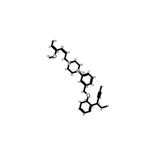 CC#CC(CC)C1=CC=CCC1OCc1cccc(N2CCN(C/C=C\C(=C/C)OC)CC2)c1